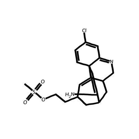 CS(=O)(=O)OCCC1C=C2C3CN=C4C=C(Cl)C=CC24C=C(N)C(C1)C3